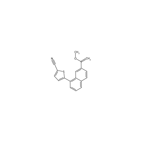 C=C(OC)c1ccc2cccc(-c3ccc(C#N)s3)c2c1